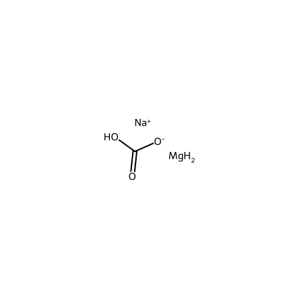 O=C([O-])O.[MgH2].[Na+]